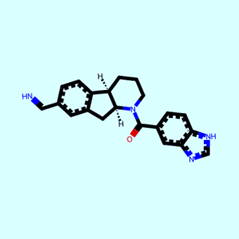 N=Cc1ccc2c(c1)C[C@H]1[C@@H]2CCCN1C(=O)c1ccc2[nH]cnc2c1